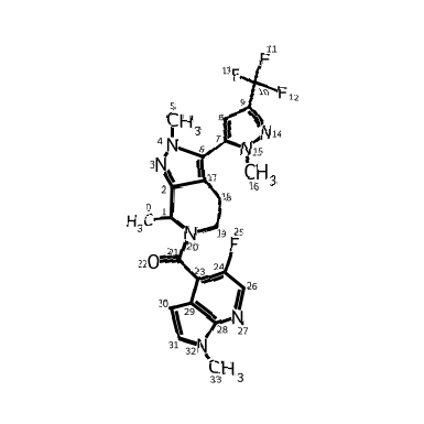 CC1c2nn(C)c(-c3cc(C(F)(F)F)nn3C)c2CCN1C(=O)c1c(F)cnc2c1ccn2C